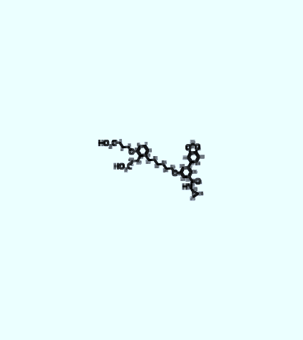 O=C(O)CCCOc1cccc(CCCCCCOc2cc(C(=O)NC3CC3)cc(-c3ccc4c(c3)OCO4)c2)c1CCC(=O)O